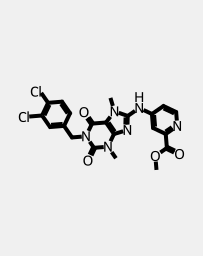 COC(=O)c1cc(Nc2nc3c(c(=O)n(Cc4ccc(Cl)c(Cl)c4)c(=O)n3C)n2C)ccn1